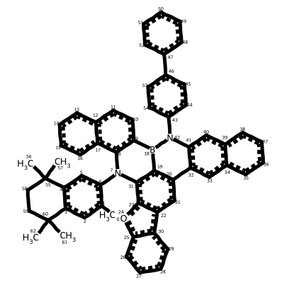 Cc1cc2c(cc1N1c3c(ccc4ccccc34)B3c4c(cc5c(oc6ccccc65)c41)-c1cc4ccccc4cc1N3c1ccc(-c3ccccc3)cc1)C(C)(C)CCC2(C)C